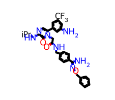 CC(C)Nc1ncc(-c2cc(N)cc(C(F)(F)F)c2)n(CC(=O)NCc2ccc(/C(N)=N/OCc3ccccc3)cc2)c1=O